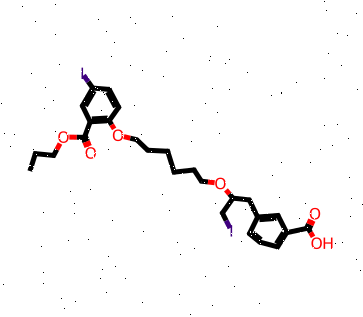 CCCOC(=O)c1cc(I)ccc1OCCCCCCOC(CI)Cc1cccc(C(=O)O)c1